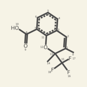 CC1=Cc2cccc(C(=O)O)c2OC1(C)C(F)(F)F